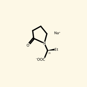 CC[C@@H](C(=O)[O-])N1CCCC1=O.[Na+]